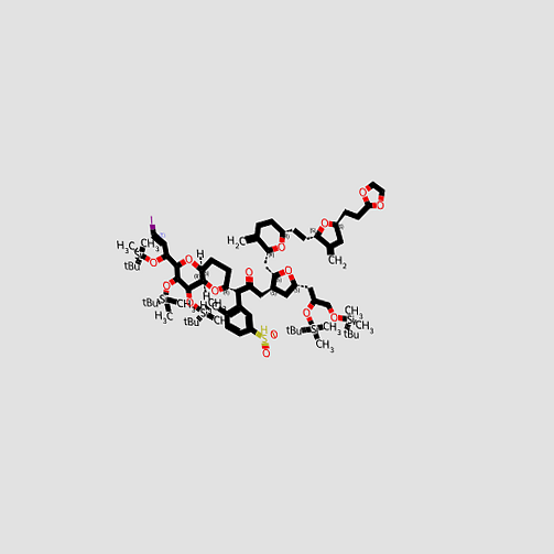 C=C1C[C@H](CCC2OCCO2)O[C@H]1CC[C@H]1CCC(=C)[C@@H](C[C@@H]2O[C@H](CC(CO[Si](C)(C)C(C)(C)C)O[Si](C)(C)C(C)(C)C)C[C@H]2CC(=O)C(c2cc([SH](=O)=O)ccc2C)[C@H]2CC[C@@H]3OC(C(/C=C/I)O[Si](C)(C)C(C)(C)C)C(O[Si](C)(C)C(C)(C)C)C(O[Si](C)(C)C(C)(C)C)[C@@H]3O2)O1